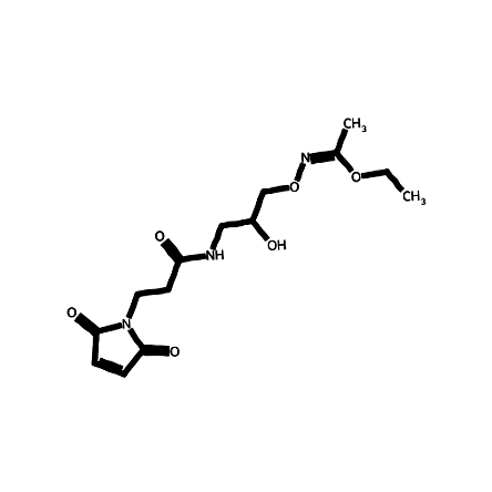 CCOC(C)=NOCC(O)CNC(=O)CCN1C(=O)C=CC1=O